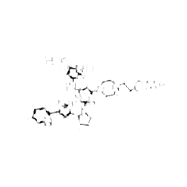 COCCN1CCN(c2cc(Nc3cc(C)[nH]n3)nc(N3CCC[C@H]3c3cc(-c4ccccn4)no3)n2)CC1